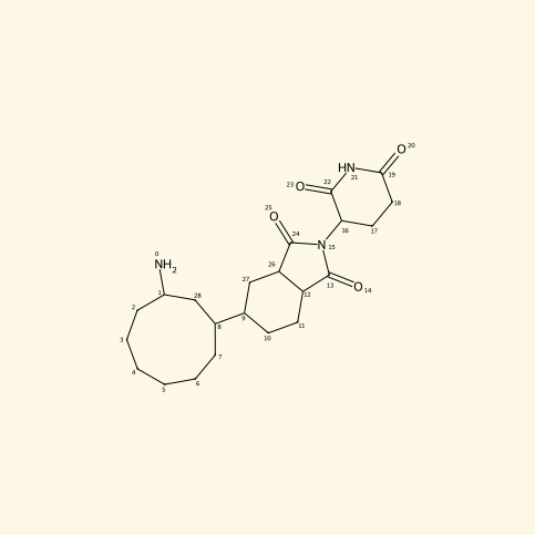 NC1CCCCCCC(C2CCC3C(=O)N(C4CCC(=O)NC4=O)C(=O)C3C2)C1